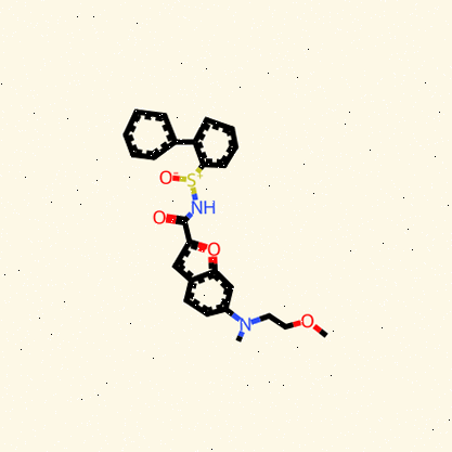 COCCN(C)c1ccc2cc(C(=O)N[S+]([O-])c3ccccc3-c3ccccc3)oc2c1